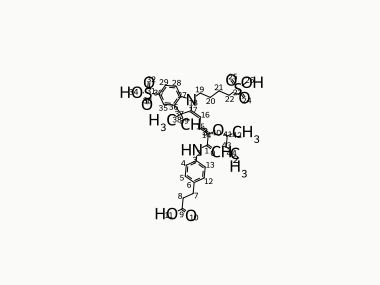 C=C(Nc1ccc(CCC(=O)O)cc1)/C(=C/C=C1/N(CCCCS(=O)(=O)O)c2ccc(S(=O)(=O)O)cc2C1(C)C)OC(C)CC